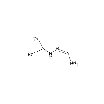 CCC(N/N=C\N)C(C)C